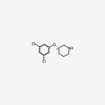 Clc1cc(Cl)cc(O[C@H]2CCCNC2)c1